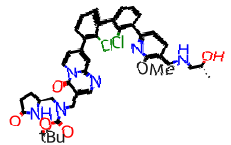 COc1nc(-c2cccc(-c3cccc(-c4ccn5c(=O)c(CN(C[C@@H]6CCC(=O)N6)C(=O)OC(C)(C)C)cnc5c4)c3Cl)c2Cl)ccc1CNC[C@@H](C)O